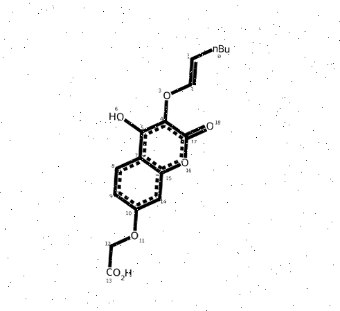 CCCCC=COc1c(O)c2ccc(OCC(=O)O)cc2oc1=O